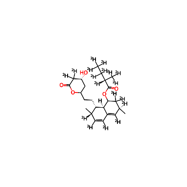 [2H]C1=C([2H])[C@]([2H])(C)[C@H](CCC2C[C@@H](O)C([2H])([2H])C(=O)O2)[C@@H]2C1=C([2H])[C@]([2H])(C)C([2H])([2H])C2OC(=O)[C@@]([2H])(C([2H])([2H])[2H])C([2H])([2H])C([2H])([2H])[2H]